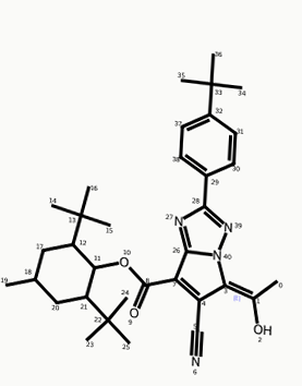 C/C(O)=c1/c(C#N)c(C(=O)OC2C(C(C)(C)C)CC(C)CC2C(C)(C)C)c2nc(-c3ccc(C(C)(C)C)cc3)nn12